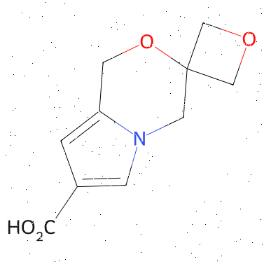 O=C(O)c1cc2n(c1)CC1(COC1)OC2